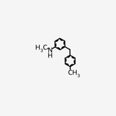 CNc1cccc(Cc2ccc(C)cc2)c1